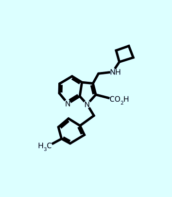 Cc1ccc(Cn2c(C(=O)O)c(CNC3CCC3)c3cccnc32)cc1